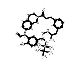 CC(Cc1cccc(CCC(=O)N2CCc3ccccc3C2)c1)NC[C@H](O[Si](C)(C)C(C)(C)C)c1ccc(O)c(NC=O)c1